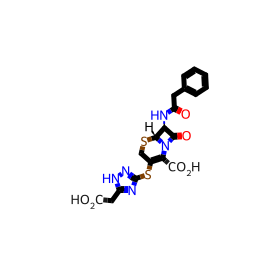 O=C(O)Cc1nc(SC2=C(C(=O)O)N3C(=O)[C@@H](NC(=O)Cc4ccccc4)[C@@H]3SC2)n[nH]1